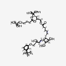 O=C(CCC/C=C\C[C@@H]1[C@@H](/C=C/[C@@H](O)COc2cccc(C(F)(F)F)c2)[C@H](O)C[C@@H]1O)OCC(CON(O)O)OC(=O)CCCON(O)O